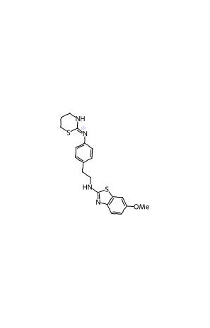 COc1ccc2nc(NCCc3ccc(/N=C4/NCCCS4)cc3)sc2c1